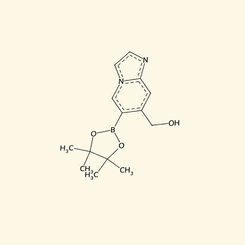 CC1(C)OB(c2cn3ccnc3cc2CO)OC1(C)C